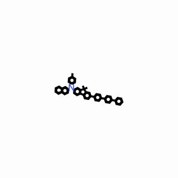 Cc1ccc(N(c2ccc3c(c2)C(C)(C)c2cc(-c4ccc(-c5ccc(-c6ccccc6)cc5)cc4)ccc2-3)c2ccc3ccccc3c2)cc1